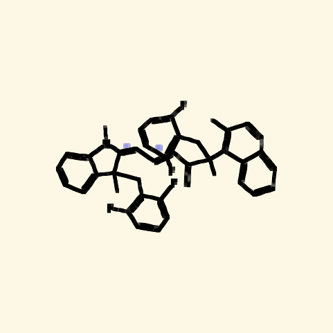 C=C(/C=C/C=C1/N(C)c2ccccc2C1(C)Cc1c(F)cccc1F)C(C)(Cc1c(F)cccc1F)c1c(C)ccc2ccccc12